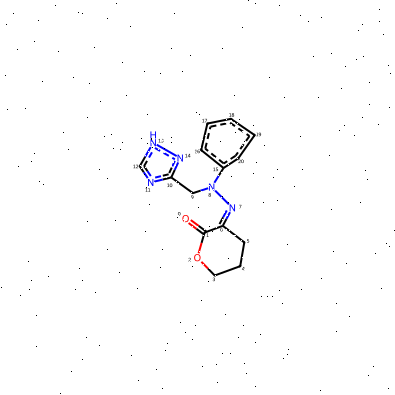 O=C1OCCCC1=NN(Cc1nc[nH]n1)c1ccccc1